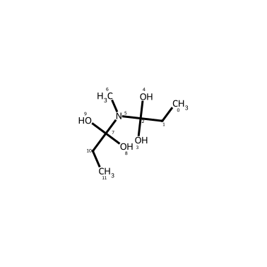 CCC(O)(O)N(C)C(O)(O)CC